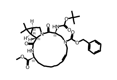 COC(=O)[C@@H]1CCCCC=CCN(C(=O)OCc2ccccc2)C[C@H](NC(=O)OC(C)(C)C)C(=O)N2C[C@H]3[C@@H]([C@H]2C(=O)N1)C3(C)C